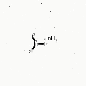 [I][In]([I])[I].[InH3]